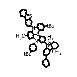 Cc1cc2c3c(c1)N(c1ccc(C(C)(C)C)cc1)c1cc(N4c5ccc(-c6ccccc6)cc5C5(C)CCCCC45C)ccc1B3c1cc(C(C)(C)C)ccc1N2c1ccc2c(c1)sc1ccccc12